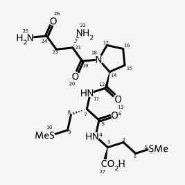 CSCC[C@H](NC(=O)[C@H](CCSC)NC(=O)[C@@H]1CCCN1C(=O)[C@@H](N)CC(N)=O)C(=O)O